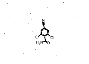 N#Cc1cc(Cl)c(C(N)=O)c(Cl)c1